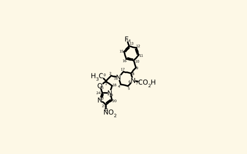 CC1(CN2CCN(C(=O)O)C(Cc3ccc(F)cc3)C2)Cn2cc([N+](=O)[O-])nc2O1